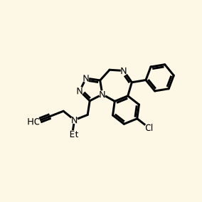 C#CCN(CC)Cc1nnc2n1-c1ccc(Cl)cc1C(c1ccccc1)=NC2